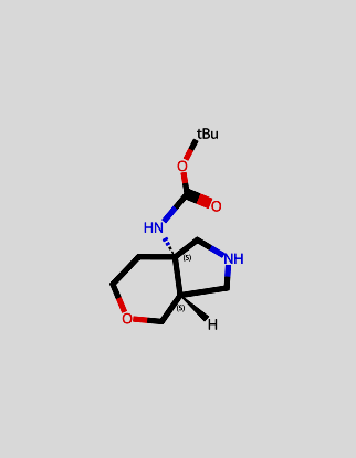 CC(C)(C)OC(=O)N[C@@]12CCOC[C@H]1CNC2